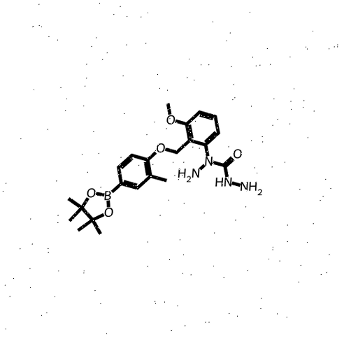 COc1cccc(N(N)C(=O)NN)c1COc1ccc(B2OC(C)(C)C(C)(C)O2)cc1C